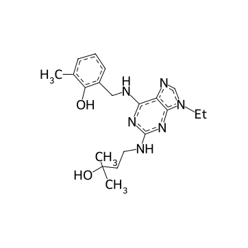 CCn1cnc2c(NCc3cccc(C)c3O)nc(NCCC(C)(C)O)nc21